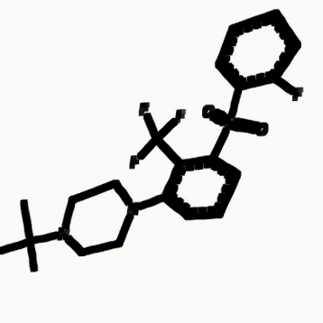 CC(C)(C)N1CCN(c2cccc(S(=O)(=O)c3ccccc3F)c2C(F)(F)F)CC1